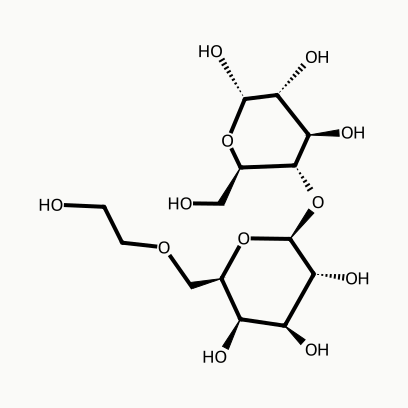 OCCOC[C@H]1O[C@@H](O[C@H]2[C@H](O)[C@@H](O)[C@@H](O)O[C@@H]2CO)[C@H](O)[C@@H](O)[C@H]1O